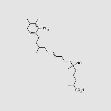 CC1=C(P)C(CCC(C)CC/C=C/CCCC(C)(CCCC(C)C(=O)O)N=O)=CCC1C